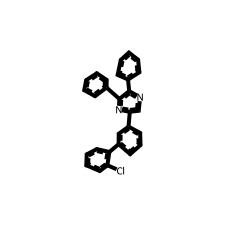 Clc1ccccc1-c1cccc(-c2cnc(-c3ccccc3)c(-c3ccccc3)n2)c1